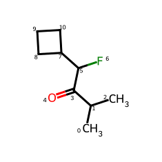 CC(C)C(=O)C(F)C1CCC1